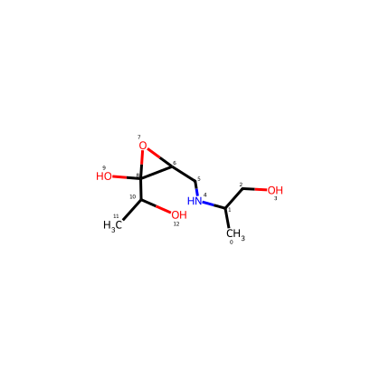 CC(CO)NCC1OC1(O)C(C)O